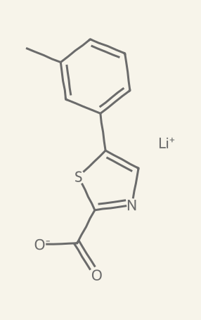 Cc1cccc(-c2cnc(C(=O)[O-])s2)c1.[Li+]